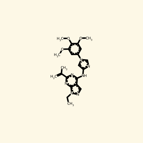 C=C(C)c1nc(Nc2cn(-c3cc(OC)c(OC)c(OC)c3)cn2)c2cnn(CC)c2n1